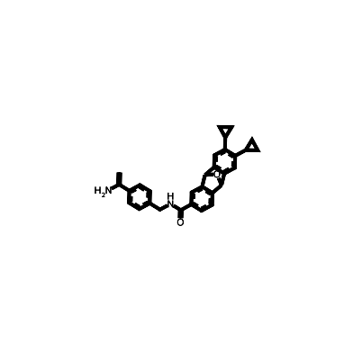 C=C(N)c1ccc(CNC(=O)c2ccc3c(c2)C2OC3c3cc(C4CC4)c(C4CC4)cc32)cc1